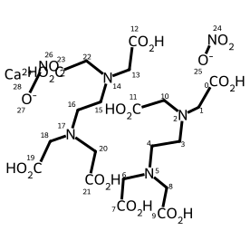 O=C(O)CN(CCN(CC(=O)O)CC(=O)O)CC(=O)O.O=C(O)CN(CCN(CC(=O)O)CC(=O)O)CC(=O)O.O=[N+]([O-])[O-].O=[N+]([O-])[O-].[Ca+2]